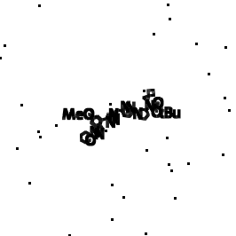 COc1cc(-c2cn(Cc3ccc(N4CCCC(N(C(=O)OC(C)(C)C)C5CC56CCC6)C4)nn3)nn2)c2cnn(C3CCCCO3)c2c1